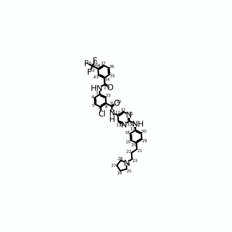 O=C(Nc1ccc(Cl)c(C(=O)Nc2cnc(Nc3ccc(CCCN4CCCC4)cc3)nc2)c1)c1cccc(C(F)(F)F)c1